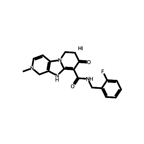 CN1C=CC2=C(C1)NC1=C(C(=O)NCc3ccccc3F)C(=O)CCN21.I